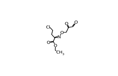 CCOC(=O)C(CCCl)=NOCC(=O)C=O